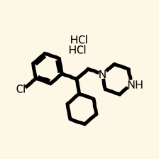 Cl.Cl.Clc1cccc(C(CN2CCNCC2)C2CCCCC2)c1